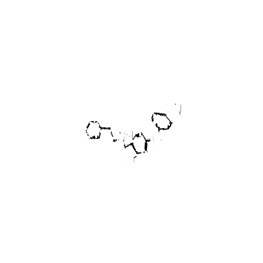 N#Cc1ccc(Oc2ccc(CNCCc3ccccc3)c(Cl)c2)cc1